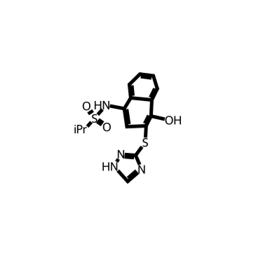 CC(C)S(=O)(=O)Nc1cc(Sc2nc[nH]n2)c(O)c2ccccc12